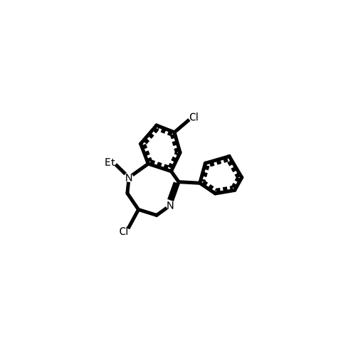 CCN1CC(Cl)C/N=C(/c2ccccc2)c2cc(Cl)ccc21